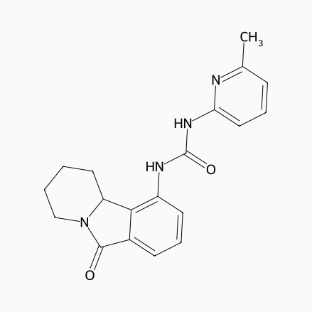 Cc1cccc(NC(=O)Nc2cccc3c2C2CCCCN2C3=O)n1